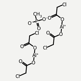 CP(=O)([O-])[O-].O=C(CCl)[O][Al+][O]C(=O)CCl.O=C(CCl)[O][Al+][O]C(=O)CCl